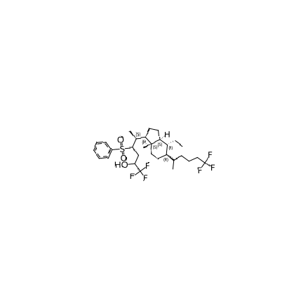 CC[C@@H]1[C@@H](C(C)CCCC(F)(F)F)CC[C@]2(C)[C@@H]([C@H](C)C(CC(O)C(F)(F)F)S(=O)(=O)c3ccccc3)CC[C@@H]12